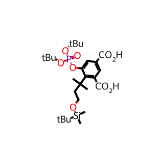 CC(C)(C)OP(=O)(Oc1cc(C(=O)O)cc(C(=O)O)c1C(C)(C)CCO[Si](C)(C)C(C)(C)C)OC(C)(C)C